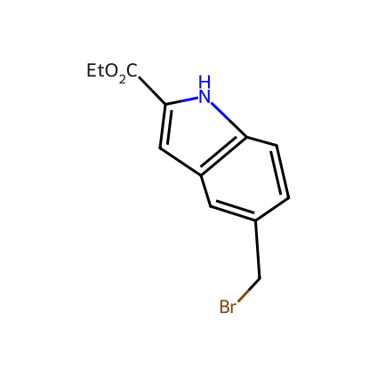 CCOC(=O)c1cc2cc(CBr)ccc2[nH]1